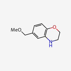 COCc1ccc2c(c1)NCCO2